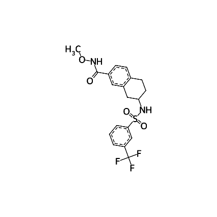 CONC(=O)c1ccc2c(c1)CC(NS(=O)(=O)c1cccc(C(F)(F)F)c1)CC2